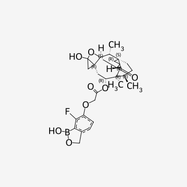 C[C@@H]1CC[C@@]23CCC(=O)[C@H]2[C@]1(C)[C@H](OC(=O)COc1ccc2c(c1F)B(O)OC2)C[C@]12CC1(O)O[C@H]2[C@@H]3C